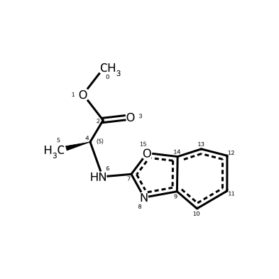 COC(=O)[C@H](C)Nc1nc2ccccc2o1